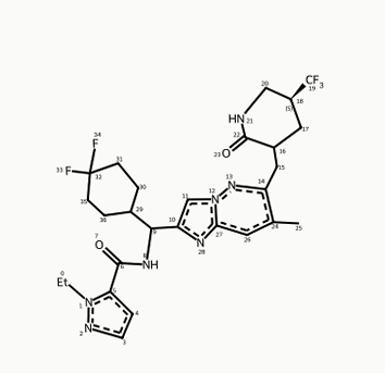 CCn1nccc1C(=O)NC(c1cn2nc(CC3C[C@H](C(F)(F)F)CNC3=O)c(C)cc2n1)C1CCC(F)(F)CC1